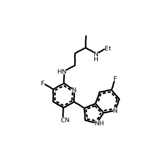 CCNC(C)CCNc1nc(-c2c[nH]c3ncc(F)cc23)c(C#N)cc1F